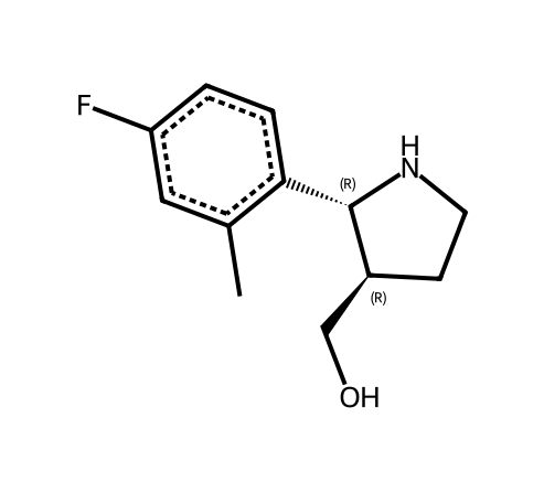 Cc1cc(F)ccc1[C@@H]1NCC[C@H]1CO